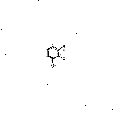 [O]c1cccc(Br)c1F